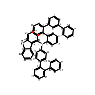 c1ccc(-c2cccc(-c3ccccc3-c3ccccc3N(c3ccc(-c4ccccc4-c4ccccc4)cc3)c3cccc4oc5ccccc5c34)c2)cc1